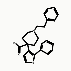 CCC(=O)C1(c2ccsc2-c2ccccc2)CCN(CCc2ccccc2)CC1